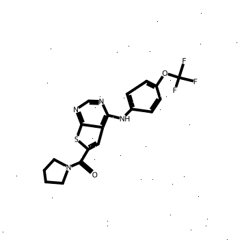 O=C(c1cc2c(Nc3ccc(OC(F)(F)F)cc3)ncnc2s1)N1CCCC1